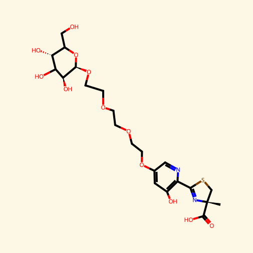 C[C@]1(C(=O)O)CSC(c2ncc(OCCOCCOCCO[C@@H]3OC(CO)[C@@H](O)C(O)[C@@H]3O)cc2O)=N1